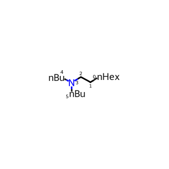 CCCCCCCCN(CCCC)CCCC